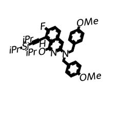 COc1ccc(CN(Cc2ccc(OC)cc2)c2cc3ccc(F)c(C#C[Si](C(C)C)(C(C)C)C(C)C)c3c(O)n2)cc1